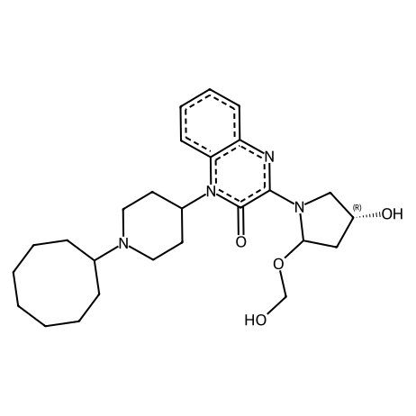 O=c1c(N2C[C@H](O)CC2OCO)nc2ccccc2n1C1CCN(C2CCCCCCC2)CC1